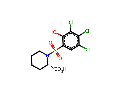 O=C(O)[C@@H]1CCCCN1S(=O)(=O)c1cc(Cl)c(Cl)c(Cl)c1O